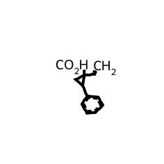 C=CC1(C(=O)O)CC1c1ccccc1